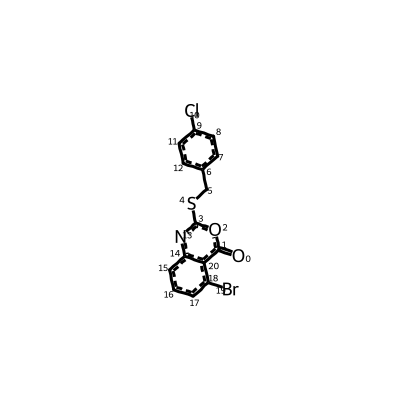 O=c1oc(SCc2ccc(Cl)cc2)nc2cccc(Br)c12